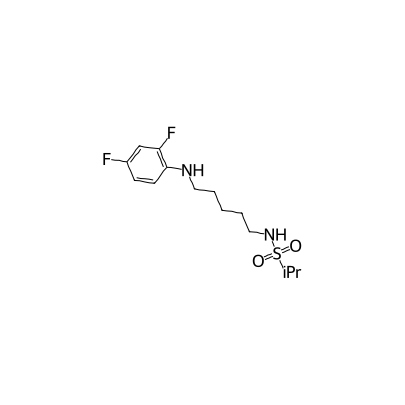 CC(C)S(=O)(=O)NCCCCCNc1ccc(F)cc1F